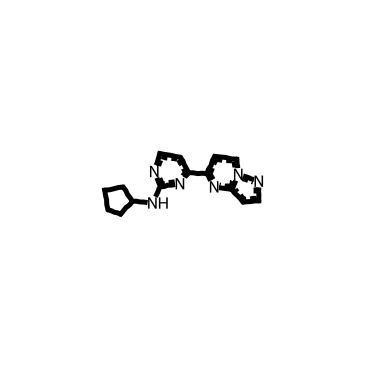 c1cc(-c2ccn3nccc3n2)nc(NC2CCCC2)n1